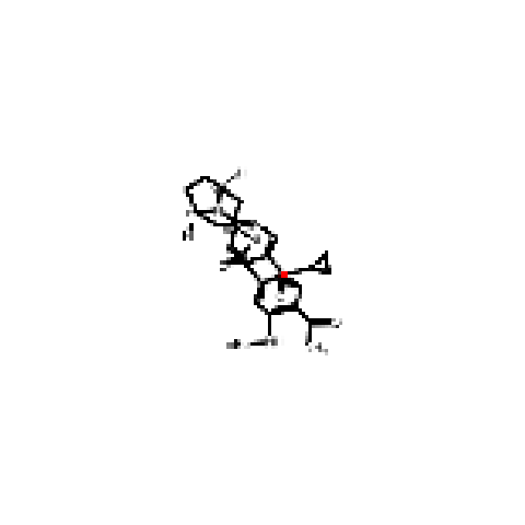 CCCCNc1cc(C(=O)N[C@H]2C[C@H]3CC[C@@H](C2)N3c2ccc(C(=O)C3CC3)cn2)ccc1C(N)=O